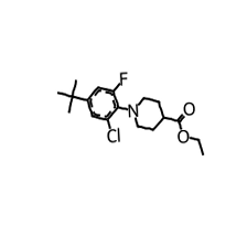 CCOC(=O)C1CCN(c2c(F)cc(C(C)(C)C)cc2Cl)CC1